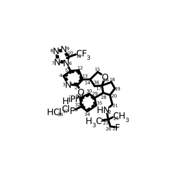 CC(C)Oc1ncc(-n2nnnc2C(F)(F)F)cc1C1COC2(CCC(CNC(C)(C)CF)C2c2ccc(F)cc2)C1.Cl.Cl